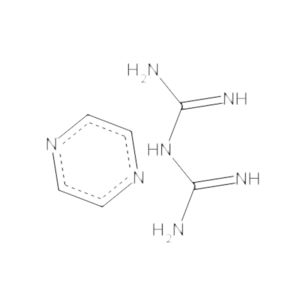 N=C(N)NC(=N)N.c1cnccn1